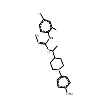 COc1ccc(N2CCC(C(C)N/C(=N/S)Nc3ccc(Cl)cc3F)CC2)cc1